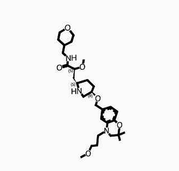 COCCCN1CC(C)(C)Oc2ccc(CO[C@@H]3CC[C@@H](C[C@H](OC)C(=O)NCC4CCOCC4)NC3)cc21